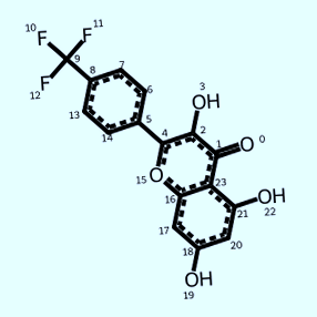 O=c1c(O)c(-c2ccc(C(F)(F)F)cc2)oc2cc(O)cc(O)c12